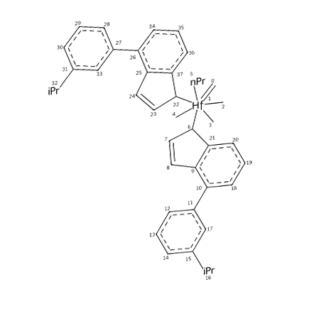 [CH2]=[Hf]([CH3])([CH3])([CH3])([CH2]CC)([CH]1C=Cc2c(-c3cccc(C(C)C)c3)cccc21)[CH]1C=Cc2c(-c3cccc(C(C)C)c3)cccc21